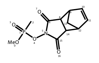 COP(C)(=O)ON1C(=O)C2C3C=CC(C3)C2C1=O